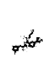 CN(CCCO)c1nc([C@H](N)Cc2cccc(F)c2)nc2ccc(-c3cn[nH]c3)cc12